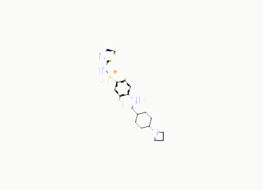 O=S(=O)(Nc1nccs1)c1cc(Cl)c(NCC2CCC(N3CCC3)CC2)cc1F